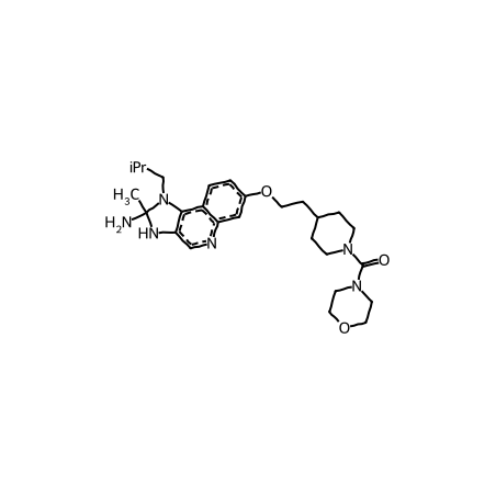 CC(C)CN1c2c(cnc3cc(OCCC4CCN(C(=O)N5CCOCC5)CC4)ccc23)NC1(C)N